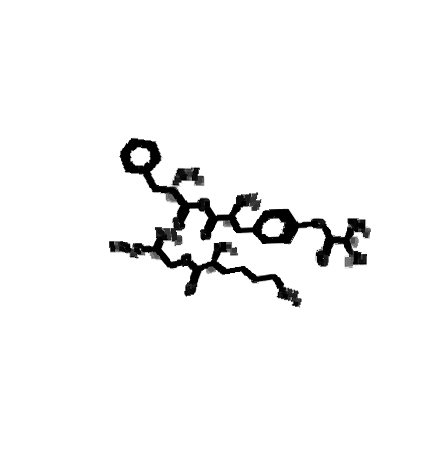 CC[C@H](C)[C@H](N)C(=O)Oc1ccc(C[C@H](N)C(=O)OC(=O)[C@@H](N)Cc2ccccc2)cc1.NCCCC[C@H](N)C(=O)OC[C@H](N)C(=O)O